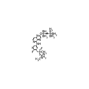 BC(B)(B)C#CC(B)(B)Oc1cnc2c(Nc3cnc(F)c(C[C@](C)(CF)S/C(N)=N\C)c3)nccc2n1